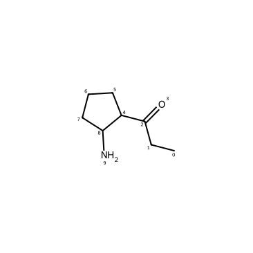 CCC(=O)C1CCCC1N